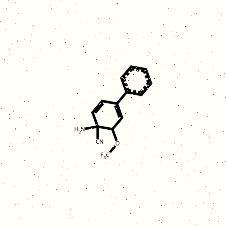 N#CC1(N)C=CC(c2ccccc2)=CC1OC(F)(F)F